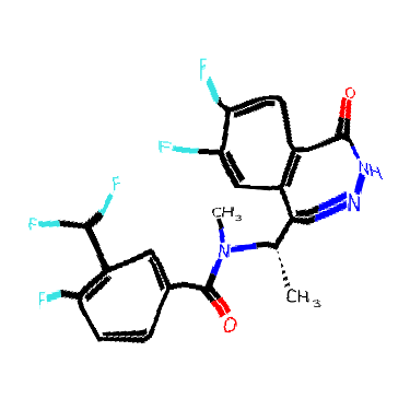 C[C@@H](c1n[nH]c(=O)c2cc(F)c(F)cc12)N(C)C(=O)c1ccc(F)c(C(F)F)c1